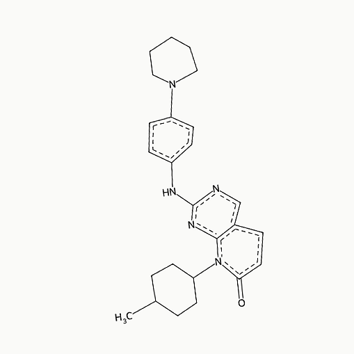 CC1CCC(n2c(=O)ccc3cnc(Nc4ccc(N5CCCCC5)cc4)nc32)CC1